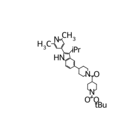 Cc1cc(-c2[nH]c3ccc(C4CCN(C(=O)C5CCN(C(=O)OC(C)(C)C)CC5)CC4)cc3c2C(C)C)cc(C)n1